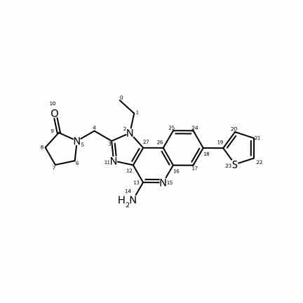 CCn1c(CN2CCCC2=O)nc2c(N)nc3cc(-c4cccs4)ccc3c21